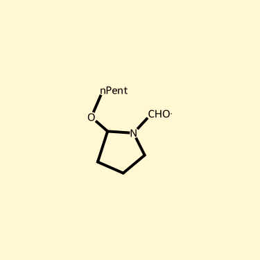 CCCCCOC1CCCN1[C]=O